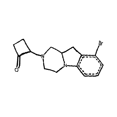 O=C1CCC1N1CCN2c3cccc(Br)c3CC2C1